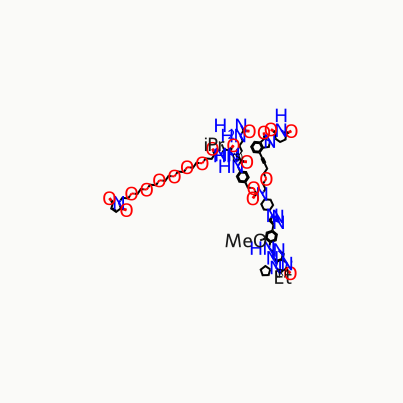 CC[C@@H]1C(=O)N(C)c2cnc(Nc3ccc(-c4cn([C@H]5CC[C@@H](N(CCOCCC#Cc6cccc7c6CN(C6CCC(=O)NC6=O)C7=O)C(=O)OCc6ccc(NC(=O)[C@H](CCCNC(N)=O)NC(=O)C(NC(=O)CCOCCOCCOCCOCCOCCOCCN7C(=O)C=CC7=O)C(C)C)cc6)CC5)nn4)cc3OC)nc2N1C1CCCC1